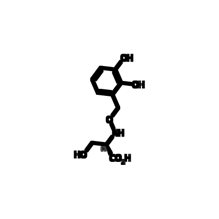 O=C(O)[C@@H](CO)NOCc1cccc(O)c1O